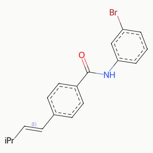 CC(C)/C=C/c1ccc(C(=O)Nc2cccc(Br)c2)cc1